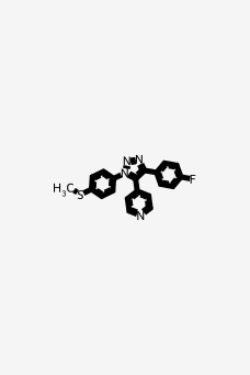 CSc1ccc(-n2nnc(-c3ccc(F)cc3)c2-c2ccncc2)cc1